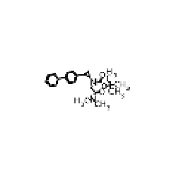 CN(C)C(=O)CN(C(=O)OC(C)(C)C)[C@H]1CC1c1ccc(-c2ccccc2)cc1